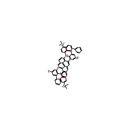 C[Si](C)(C)c1ccc(N(c2c(F)cc(F)cc2-c2ccccc2-c2ccccc2)c2ccc3ccc4c(N(c5ccc([Si](C)(C)C)cc5)c5c(F)cc(F)cc5-c5ccccc5-c5ccccc5)ccc5ccc2c3c54)cc1